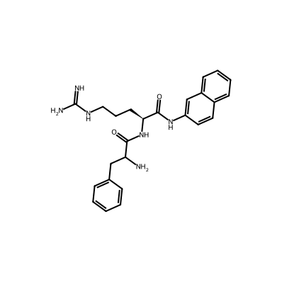 N=C(N)NCCC[C@H](NC(=O)C(N)Cc1ccccc1)C(=O)Nc1ccc2ccccc2c1